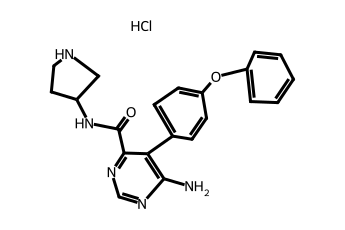 Cl.Nc1ncnc(C(=O)NC2CCNC2)c1-c1ccc(Oc2ccccc2)cc1